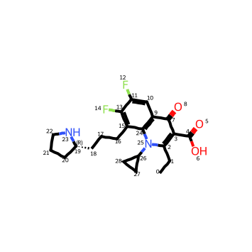 CCc1c(C(=O)O)c(=O)c2cc(F)c(F)c(CCC[C@@H]3CCCN3)c2n1C1CC1